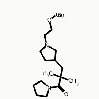 CC(C)(C)OCCN1CCC(CC(C)(C)C(=O)N2CCCC2)C1